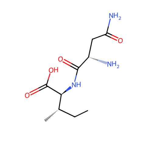 CC[C@H](C)[C@H](NC(=O)[C@@H](N)CC(N)=O)C(=O)O